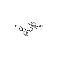 CCc1ccc(N(CC(C)C)S(=O)(=O)c2ccc(N3CC(O)C3)c(S(C)(=N)=O)c2)cc1